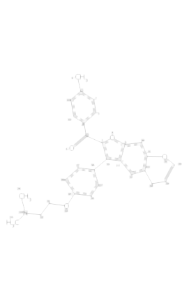 Cc1ccc(C(=O)c2oc3cc4c(cc3c2-c2ccc(OCCN(C)C)cc2)CC=CO4)cc1